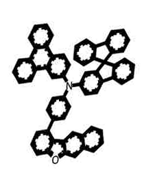 c1ccc2c(c1)-c1ccccc1C21c2ccccc2-c2ccc(N(c3ccc(-c4cccc5oc6cc7ccccc7cc6c45)cc3)c3ccc4c5ccccc5c5ccccc5c4c3)cc21